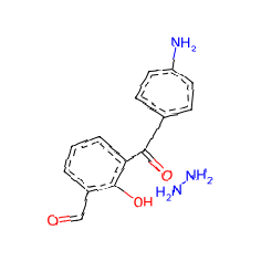 NN.Nc1ccc(C(=O)c2cccc(C=O)c2O)cc1